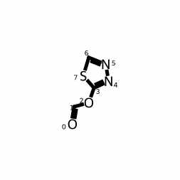 O=[C]Oc1nncs1